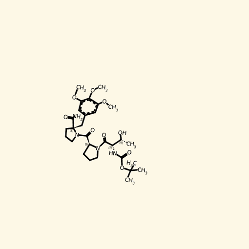 COc1cc(C[C@]2(C(N)=O)CCCN2C(=O)[C@@H]2CCCN2C(=O)[C@@H](NC(=O)OC(C)(C)C)[C@@H](C)O)cc(OC)c1OC